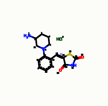 Cl.NC1CCCN(c2ccccc2/C=C2/SC(=O)NC2=O)C1